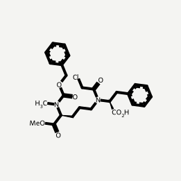 COC(=O)[C@H](CCCN(C(=O)CCl)[C@@H](Cc1ccccc1)C(=O)O)N(C)C(=O)OCc1ccccc1